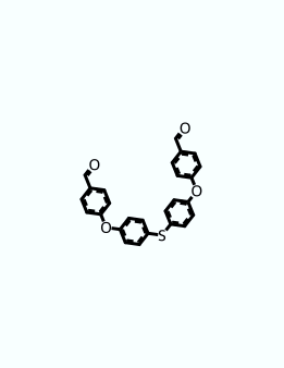 O=Cc1ccc(Oc2ccc(Sc3ccc(Oc4ccc(C=O)cc4)cc3)cc2)cc1